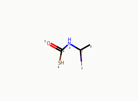 CC(I)NC(=O)S